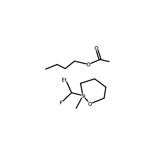 CCC(F)[Si]1(C)CCCCO1.CCCCOC(C)=O